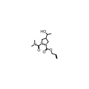 C=CCOC(=O)N1CC(C(C)O)CN1C(=O)N(C)C